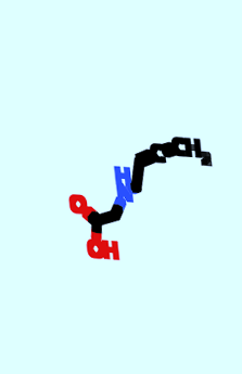 C=C=CCNCC(=O)O